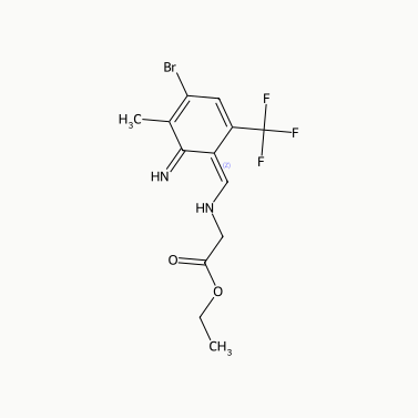 CCOC(=O)CN/C=C1\C(=N)C(C)=C(Br)C=C1C(F)(F)F